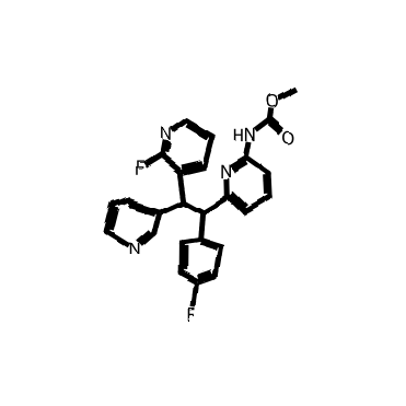 COC(=O)Nc1cccc(C(c2ccc(F)cc2)C(c2cccnc2)c2cccnc2F)n1